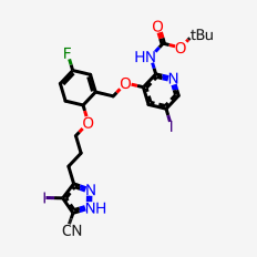 CC(C)(C)OC(=O)Nc1ncc(I)cc1OCC1=CC(F)=CCC1OCCCc1n[nH]c(C#N)c1I